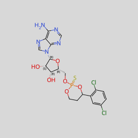 Nc1ncnc2c1ncn2[C@@H]1O[C@H](COP2(=S)OCCC(c3cc(Cl)ccc3Cl)O2)[C@H](O)[C@@H]1O